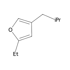 CCc1cc(CC(C)C)co1